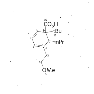 CCCC1C(CCOC)=CC=CC1(C(=O)O)C(C)(C)C